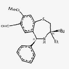 CCCC[C@]1(CC)CSc2cc(OC)c(C=O)cc2[C@H](c2ccccc2)N1